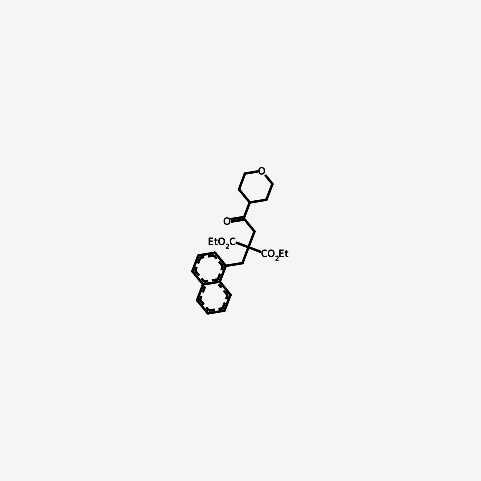 CCOC(=O)C(CC(=O)C1CCOCC1)(Cc1cccc2ccccc12)C(=O)OCC